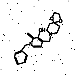 C=C1C(O)=C(CN2CCC3(CC2)OCCO3)C=CN1Cc1ccccc1